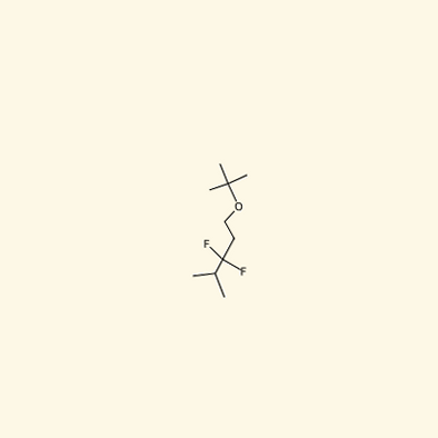 CC(C)C(F)(F)CCOC(C)(C)C